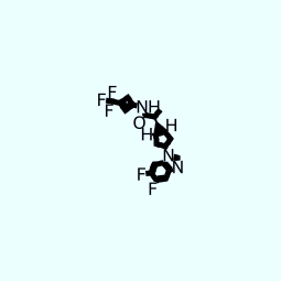 CC(C(=O)NC12CC(C(F)(F)F)(C1)C2)[C@H]1[C@@H]2C[C@@H](n3cnc4cc(F)c(F)cc43)C[C@@H]21